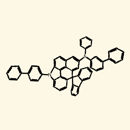 c1ccc(-c2ccc(-n3c4cccc5c4c4c6c(cc(N(c7ccccc7)c7cccc(-c8ccccc8)c7)cc6ccc43)C53c4ccccc4-c4ccccc43)cc2)cc1